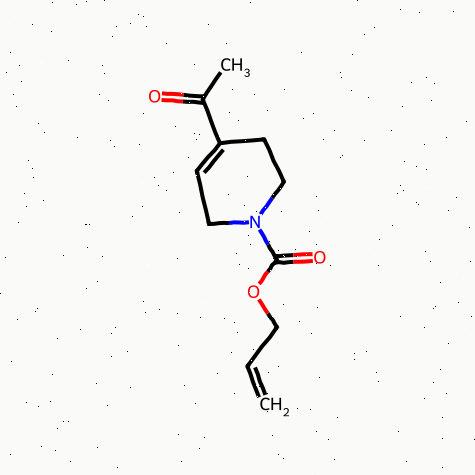 C=CCOC(=O)N1CC=C(C(C)=O)CC1